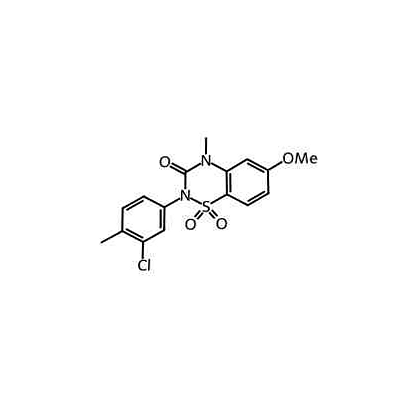 COc1ccc2c(c1)N(C)C(=O)N(c1ccc(C)c(Cl)c1)S2(=O)=O